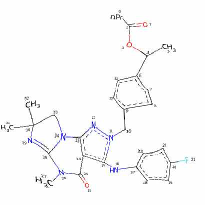 CCCC(=O)OC(C)c1ccc(Cn2nc3c(c2Nc2ccc(F)cc2)C(=O)N(C)C2=NC(C)(C)CN23)cc1